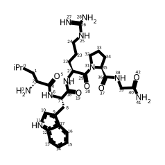 CC(C)C[C@@H](N)C(=O)N[C@@H](Cc1c[nH]c2ccccc12)C(=O)N[C@@H](CCCNC(=N)N)C(=O)N1CCC[C@H]1C(=O)NCC(N)=O